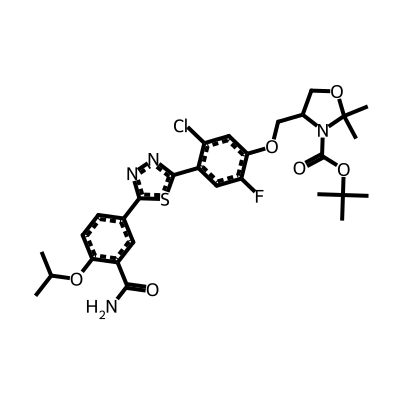 CC(C)Oc1ccc(-c2nnc(-c3cc(F)c(OCC4COC(C)(C)N4C(=O)OC(C)(C)C)cc3Cl)s2)cc1C(N)=O